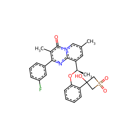 Cc1cc([C@@H](C)Oc2ccccc2C2(O)CS(=O)(=O)C2)c2nc(-c3cccc(F)c3)c(C)c(=O)n2c1